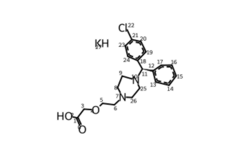 O=C(O)COCCN1CCN([C@H](c2ccccc2)c2ccc(Cl)cc2)CC1.[KH]